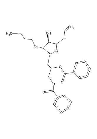 C=CCC1OC(CC(COC(=O)c2ccccc2)OC(=O)c2ccccc2)C(OCCCC)[C@H]1O